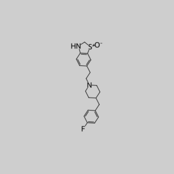 [O-][S+]1CNc2ccc(CCN3CCC(Cc4ccc(F)cc4)CC3)cc21